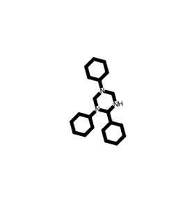 C1CCC(C2NCN(C3CCCCC3)CN2C2CCCCC2)CC1